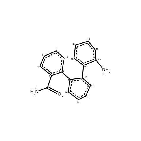 NC(=O)c1cccnc1-c1ccccc1-c1ccccc1N